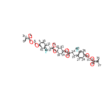 C=C(C)C(=O)OCOc1ccc(CCC(=O)OC2CCC(OC(=O)CCc3ccc(OCOC(=O)C(=C)C)cc3F)CC2)c(F)c1